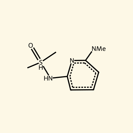 CNc1cccc(N[SH](C)(C)=O)n1